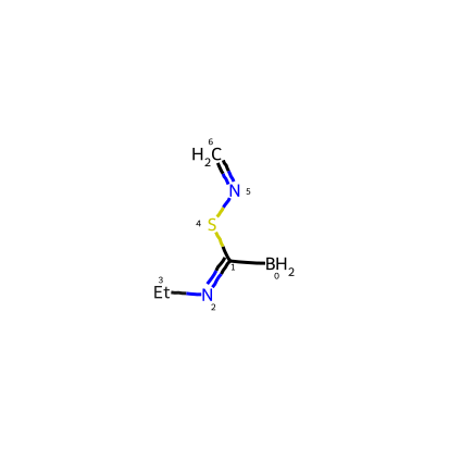 B/C(=N/CC)SN=C